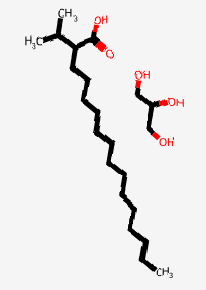 CCCCCCCCCCCCCCC(C(=O)O)C(C)C.OCC(O)CO